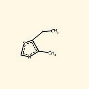 C[CH]c1scnc1C